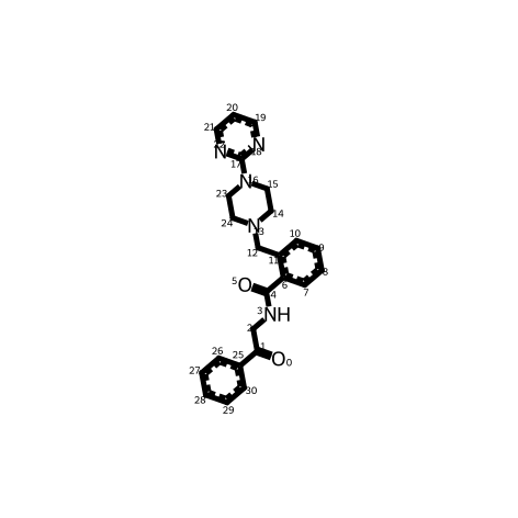 O=C(CNC(=O)c1ccccc1CN1CCN(c2ncccn2)CC1)c1ccccc1